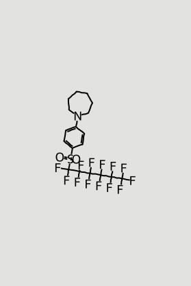 O=S(=O)(c1ccc(N2CCCCCC2)cc1)C(F)(F)C(F)(F)C(F)(F)C(F)(F)C(F)(F)C(F)(F)F